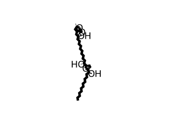 CCCCCCCCCCCC[C@H](O)[C@@H]1CC[C@H]([C@H](O)CCCCCCCCCC[C@H](O)CC2=C[C@H](C)OC2=O)O1